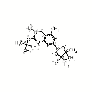 Cc1cc(B2OC(C)(C)C(C)(C)O2)ccc1CN(C)C(=O)OC(C)(C)C